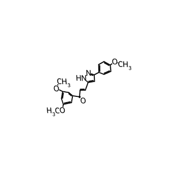 COc1ccc(-c2cc(C=CC(=O)c3cc(OC)cc(OC)c3)[nH]n2)cc1